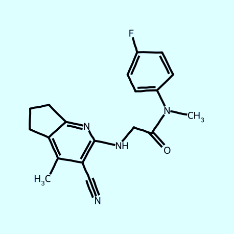 Cc1c(C#N)c(NCC(=O)N(C)c2ccc(F)cc2)nc2c1CCC2